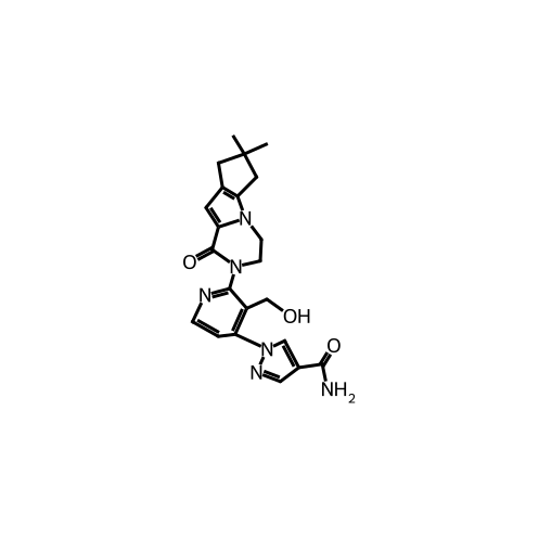 CC1(C)Cc2cc3n(c2C1)CCN(c1nccc(-n2cc(C(N)=O)cn2)c1CO)C3=O